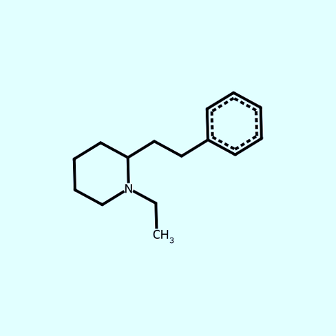 CCN1CCCCC1CCc1ccccc1